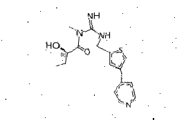 CC[C@@H](O)C(=O)N(C)C(=N)NCc1cc(-c2ccncc2)cs1